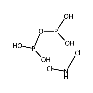 ClNCl.OP(O)OP(O)O